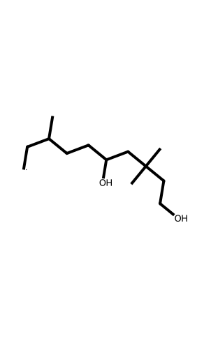 [CH2]CC(C)CCC(O)CC(C)(C)CCO